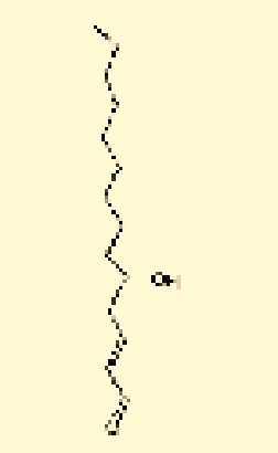 CCCCCCCCCC(O)CC=CC=O